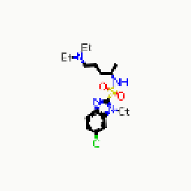 CCN(CC)CCCC(C)NS(=O)(=O)c1nc2ccc(Cl)cc2n1CC